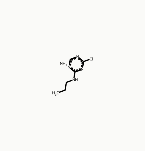 CCCNc1ncnc(Cl)n1.N